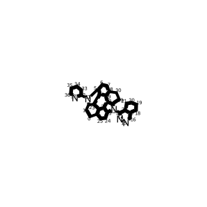 C1=CC2c3c4c(ccc5c4c4c(n(-c6nncc7ccccc67)c6ccc1c3c46)=CC5)N2c1ccccn1